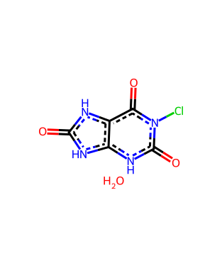 O.O=c1[nH]c2[nH]c(=O)n(Cl)c(=O)c2[nH]1